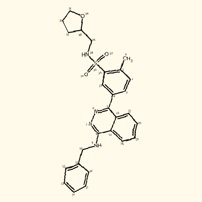 Cc1ccc(-c2nnc(NCc3ccccc3)c3ccccc23)cc1S(=O)(=O)NCC1CCCO1